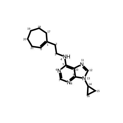 C1=C(CCNc2ncnc3c2ncn3C2CC2)CCCCC1